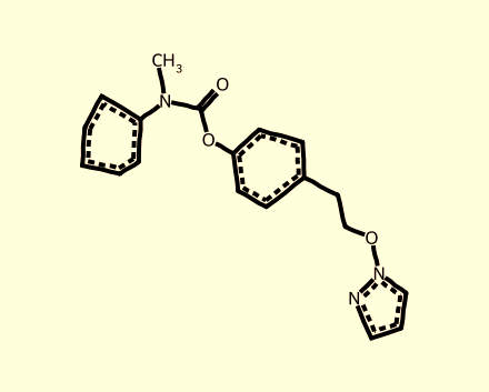 CN(C(=O)Oc1ccc(CCOn2cccn2)cc1)c1ccccc1